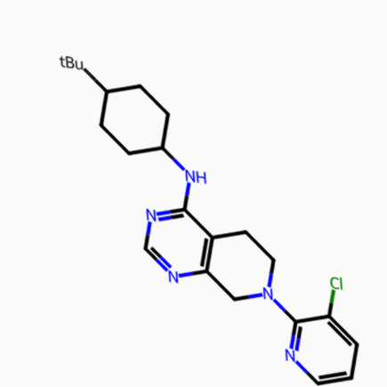 CC(C)(C)C1CCC(Nc2ncnc3c2CCN(c2ncccc2Cl)C3)CC1